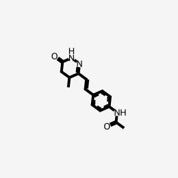 CC(=O)Nc1ccc(C=CC2=NNC(=O)CC2C)cc1